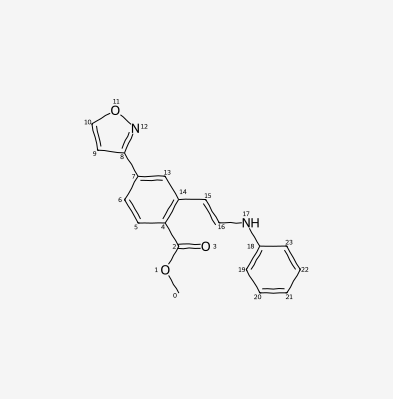 COC(=O)c1ccc(-c2ccon2)cc1C=CNc1ccccc1